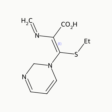 C=N/C(C(=O)O)=C(/SCC)N1C=CC=NC1